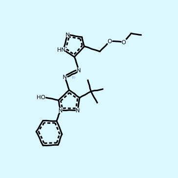 CCOOCc1cn[nH]c1/N=N/c1c(C(C)(C)C)nn(-c2ccccc2)c1O